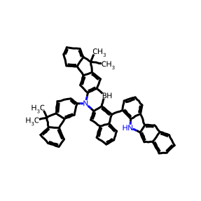 CC1(C)c2ccccc2-c2cc(N3c4cc5c(cc4Bc4c3cc3ccccc3c4-c3cccc4c3[nH]c3cc6ccccc6cc34)C(C)(C)c3ccccc3-5)ccc21